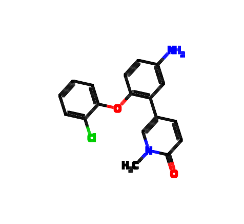 Cn1cc(-c2cc(N)ccc2Oc2ccccc2Cl)ccc1=O